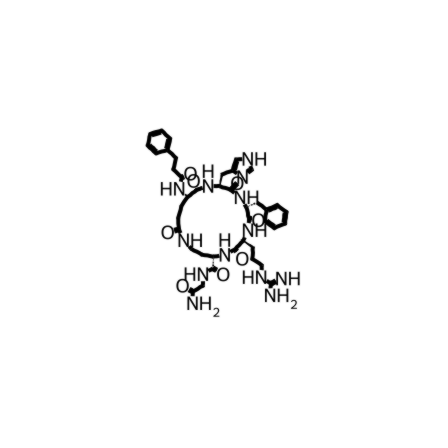 N=C(N)NCCC[C@@H]1NC(=O)[C@@H](Cc2ccccc2)NC(=O)[C@H](Cc2c[nH]cn2)NC(=O)[C@@H](NC(=O)CCc2ccccc2)CCC(=O)NCC[C@@H](C(=O)NCC(N)=O)NC1=O